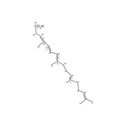 CC(C)=CCC/C(C)=C/CC/C(C)=C/C=C/C(C)=C/CC(=O)O